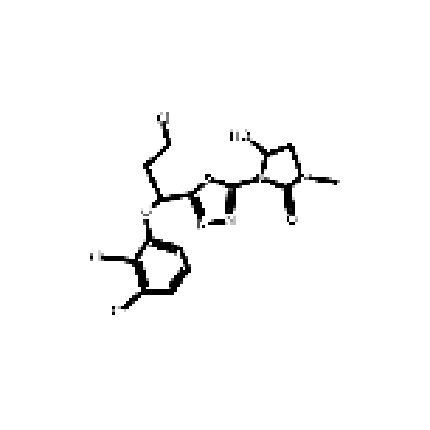 CN1CC(O)N(c2nnc(C(CCCl)Oc3cccc(Cl)c3Cl)s2)C1=O